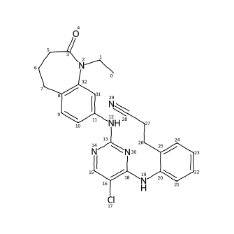 CCN1C(=O)CCCc2ccc(Nc3ncc(Cl)c(Nc4ccccc4CCC#N)n3)cc21